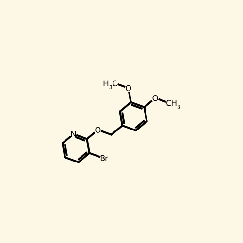 COc1ccc(COc2ncccc2Br)cc1OC